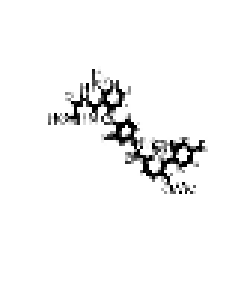 COCc1ccc(C(=O)Nc2ccc(Oc3ccnc(N)c3C(=N)N[C@H](C)CO)c(F)c2)[n+](O)c1-c1ccc(F)cc1